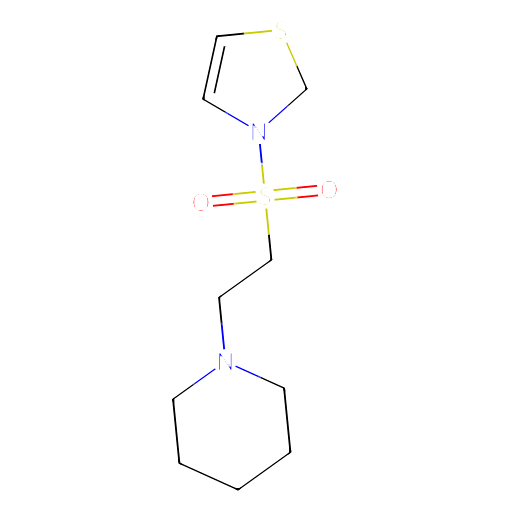 O=S(=O)(CCN1CCCCC1)N1C=CSC1